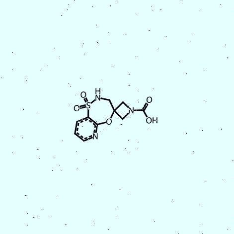 O=C(O)N1CC2(CNS(=O)(=O)c3cccnc3O2)C1